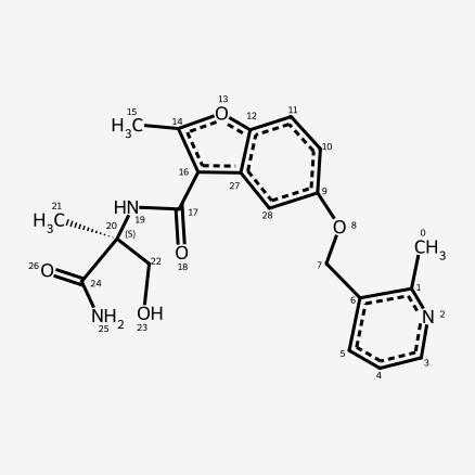 Cc1ncccc1COc1ccc2oc(C)c(C(=O)N[C@@](C)(CO)C(N)=O)c2c1